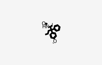 CCCC(c1ccccc1)(c1ccc(OC)cc1)C(I)NC=O